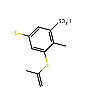 C=C(C)Sc1cc(S)cc(S(=O)(=O)O)c1C